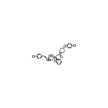 O=C(/C=C/c1ccc(Cl)cc1)N[C@@H](Cc1ccccn1)C(=O)NCC(=O)N1CCC(Oc2ccc(Cl)cc2)CC1